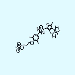 Cc1cc(-c2noc(-c3sc(C)c4c3C[C@@H]3[C@H]4C3(C)C)n2)cc(C)c1OCCCOS(C)(=O)=O